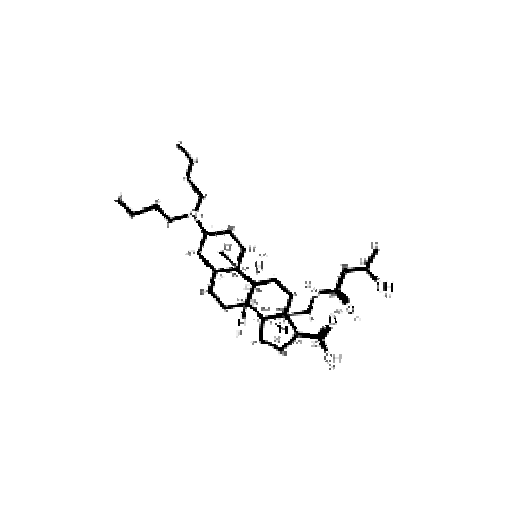 CCCCN(CCCC)C1CC[C@@]2(C)C(CC[C@H]3[C@@H]4CCC(C(=O)O)[C@@]4(COC(=O)CC(C)O)CC[C@@H]32)C1